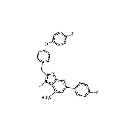 Cc1c2c(C(=O)O)cc(-c3ccc(F)cc3)nc2nn1Cc1ccc(Oc2ccc(F)cc2)cc1